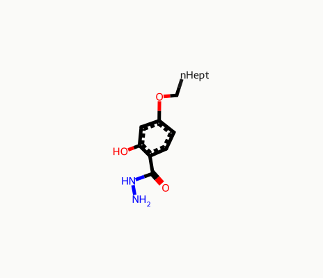 CCCCCCCCOc1ccc(C(=O)NN)c(O)c1